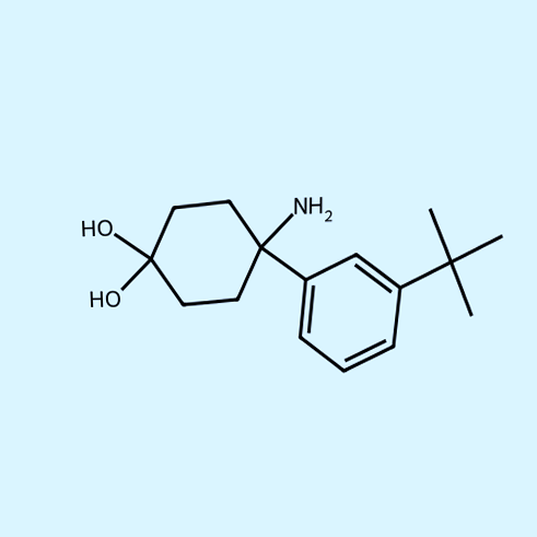 CC(C)(C)c1cccc(C2(N)CCC(O)(O)CC2)c1